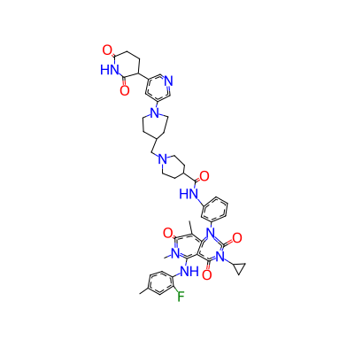 Cc1ccc(Nc2c3c(=O)n(C4CC4)c(=O)n(-c4cccc(NC(=O)C5CCN(CC6CCN(c7cncc(C8CCC(=O)NC8=O)c7)CC6)CC5)c4)c3c(C)c(=O)n2C)c(F)c1